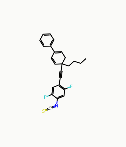 CCCCC1(C#Cc2cc(F)c(N=C=S)cc2F)C=CC(c2ccccc2)=CC1